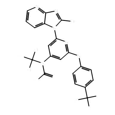 Cc1nc2ncccc2n1-c1cc(N(C(=O)O)C(C)(C)C)cc(Nc2ccc(C(F)(F)F)cc2)n1